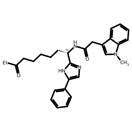 CCC(=O)CCCCC[C@H](NC(=O)Cc1cn(C)c2ccccc12)c1ncc(-c2ccccc2)[nH]1